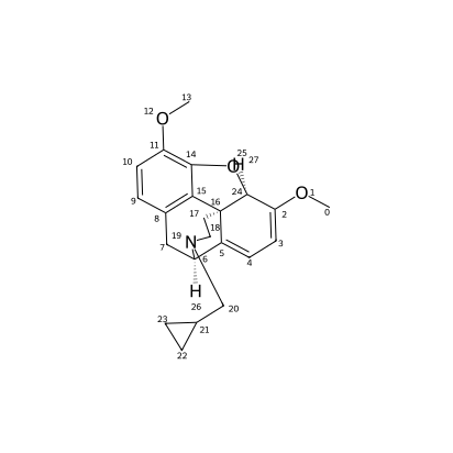 COC1=CC=C2[C@H]3Cc4ccc(OC)c5c4[C@@]2(CCN3CC2CC2)[C@H]1O5